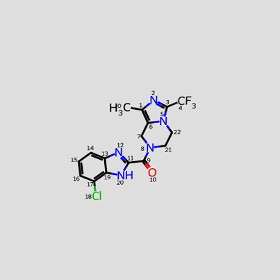 Cc1nc(C(F)(F)F)n2c1CN(C(=O)c1nc3cccc(Cl)c3[nH]1)CC2